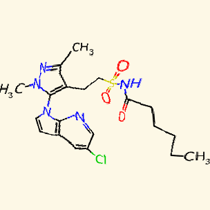 CCCCCC(=O)NS(=O)(=O)CCc1c(C)nn(C)c1-n1ccc2cc(Cl)cnc21